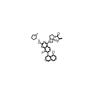 C=C(F)C(=O)N1CCC2[C@H]1CN2c1nc(OC[C@@H]2CCCN2C)nc2c(F)c(-c3cncc4cccc(Cl)c34)ccc12